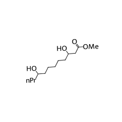 CCCC(O)CCCCCC(O)CC(=O)OC